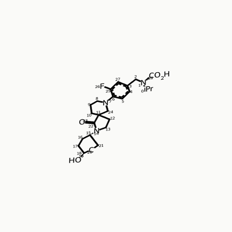 CC(C)N(Cc1ccc(N2CCCC3(CCN([C@H]4CC[C@H](O)CC4)C3=O)C2)c(F)c1)C(=O)O